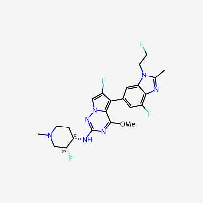 COc1nc(N[C@H]2CCN(C)C[C@H]2F)nn2cc(F)c(-c3cc(F)c4nc(C)n(CCF)c4c3)c12